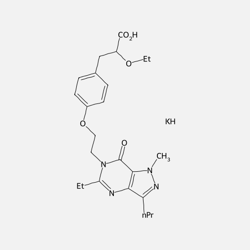 CCCc1nn(C)c2c(=O)n(CCOc3ccc(CC(OCC)C(=O)O)cc3)c(CC)nc12.[KH]